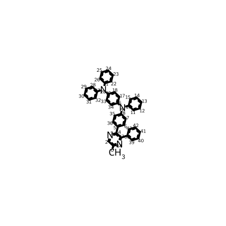 Cc1cnc(-c2ccc(N(c3ccccc3)c3ccc(N(c4ccccc4)c4ccccc4)cc3)cc2)c(-c2ccccc2)n1